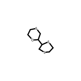 C1CSCC([C]2CSCCS2)O1